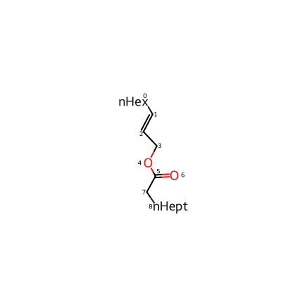 CCCCCC/C=C/COC(=O)CCCCCCCC